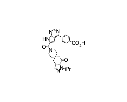 CC(C)n1ncc2c1C(=O)CC1(CCN(C(=O)c3cc4c(-c5ccc(C(=O)O)cc5)ncnc4[nH]3)CC1)C2